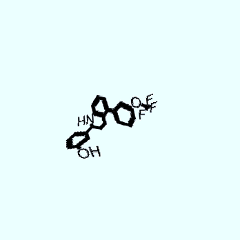 Oc1cccc(C2CCc3c(cccc3-c3cccc(OC(F)(F)F)c3)N2)c1